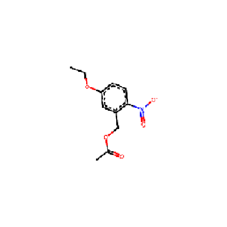 CCOc1ccc([N+](=O)[O-])c(COC(C)=O)c1